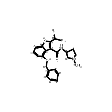 CN1CCC(NC(=O)c2c(C(F)F)sc3cccc(OCc4ccccc4)c23)C1